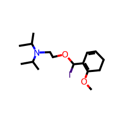 COC1=C(C(I)OCCN(C(C)C)C(C)C)C=CCC1